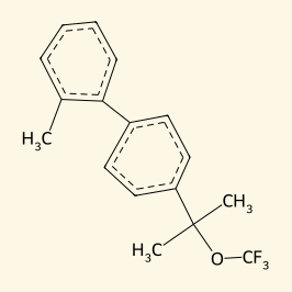 Cc1ccccc1-c1ccc(C(C)(C)OC(F)(F)F)cc1